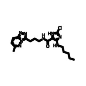 CCCCCNc1nc(Cl)[nH]c1C(=O)NCCCc1nnc2ccc(C)nn12